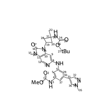 COC(=O)Nc1cc(Nc2cc3c(cn2)n(C)c(=O)n3C2CC(C)(NC(=O)OC(C)(C)C)C2)cc(-c2cnn(C)c2)c1